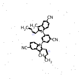 C=C/C=C\c1c(C)c2cc(C#N)ccc2n1-c1cc(C#N)cc(-n2c(/C=C\C=C)c(C)c3cc(C#N)ccc32)c1